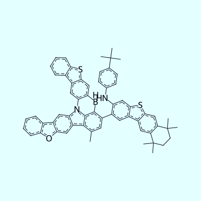 Cc1cc(-c2cc3c(cc2Nc2ccc(C(C)(C)C)cc2)sc2cc4c(cc23)C(C)(C)CCC4(C)C)c2c3c1c1cc4oc5ccccc5c4cc1n3-c1cc3c(cc1B2)sc1ccccc13